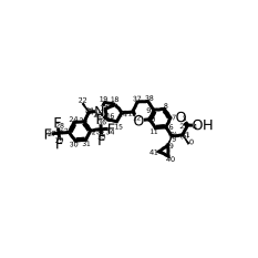 C[C@H](C(=O)O)[C@H](c1ccc2c(c1)OC(C1CC3CC1CN3[C@H](C)c1cc(C(F)(F)F)ccc1C(F)(F)F)CC2)C1CC1